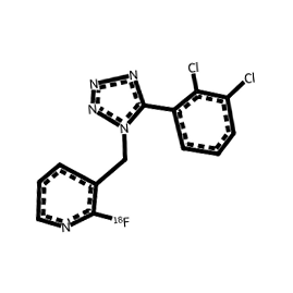 [18F]c1ncccc1Cn1nnnc1-c1cccc(Cl)c1Cl